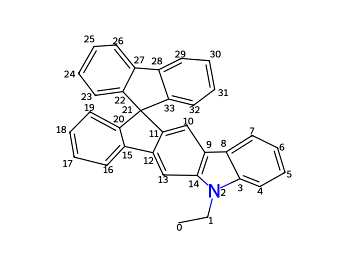 CCn1c2ccccc2c2cc3c(cc21)-c1ccccc1C31c2ccccc2-c2ccccc21